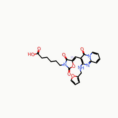 O=C(O)CCCCCN1C(=O)O/C(=C\c2c(NCc3ccco3)nc3ccccn3c2=O)C1=O